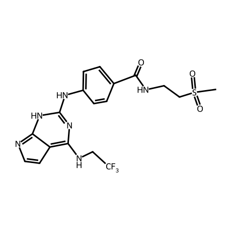 CS(=O)(=O)CCNC(=O)c1ccc(Nc2nc(NCC(F)(F)F)c3ccnc-3[nH]2)cc1